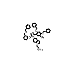 CNCCn1ccc2cc(-n3c(O)nnc3-c3cc(C(C)C)c(OCc4ccccc4)cc3OCc3ccccc3)ccc21.c1ccc(COCc2ccccc2)cc1